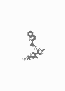 Cc1ncc(-c2cnc(C(C)(C)O)cc2C)c(OC[C@H]2CC2c2ccc3ccccc3n2)n1